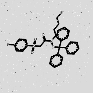 O=C(CS(=O)(=O)c1ccc(F)cc1)N(CCCCBr)OC(c1ccccc1)(c1ccccc1)c1ccccc1